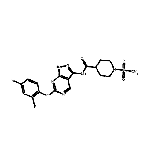 CS(=O)(=O)N1CCC(C(=O)Nc2n[nH]c3nc(Oc4ccc(F)cc4F)ncc23)CC1